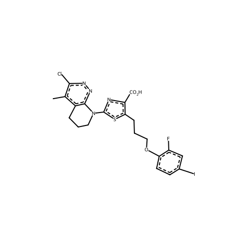 Cc1c(Cl)nnc2c1CCCN2c1nc(C(=O)O)c(CCCOc2ccc(I)cc2F)s1